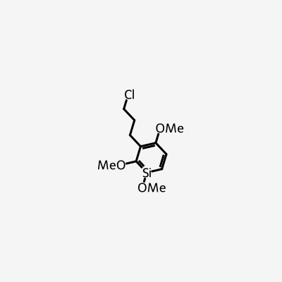 COc1cc[si](OC)c(OC)c1CCCCl